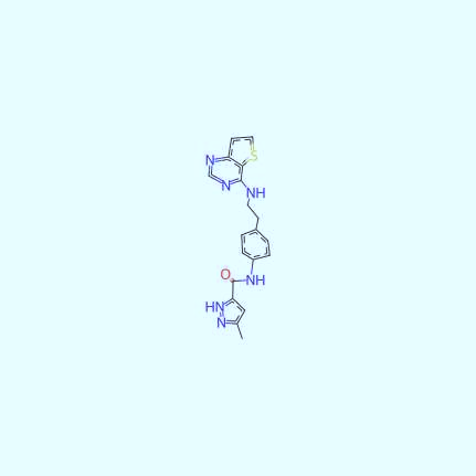 Cc1cc(C(=O)Nc2ccc(CCNc3ncnc4ccsc34)cc2)[nH]n1